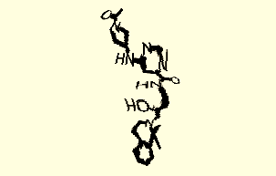 CC(=O)N1CC(Nc2cc(C(=O)NC[C@H](O)CN3CCc4ccccc4C3(C)C)ncn2)C1